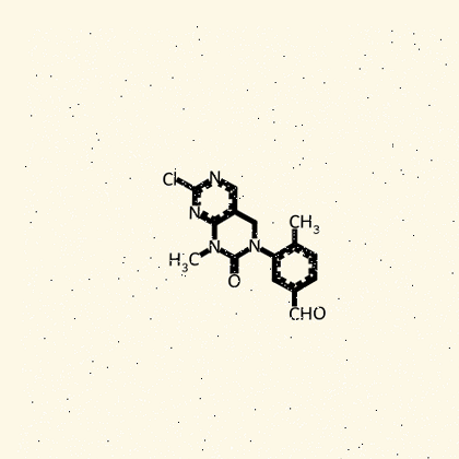 Cc1ccc(C=O)cc1N1Cc2cnc(Cl)nc2N(C)C1=O